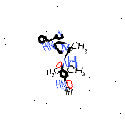 Cc1cc(C(=O)NC(C)C)cc(C)c1C(=O)NCC[C@@H](C)N1CCC(NC(c2ccccc2)c2cccnc2)CC1